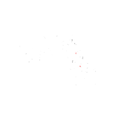 C=C/C(=C\c1cc(NC(=O)N2[C@@H]3CC[C@H]2C[C@H](NCCC(F)(F)F)C3)nnc1C)c1cnc(C)o1